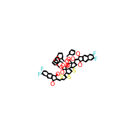 O=C1C(=CC2=Cc3sc4c(c3C2(C(=O)OCc2ccccc2)C(=O)OCc2ccccc2)C(C(=O)OCc2ccccc2)(C(=O)OCc2ccccc2)c2c-4sc3cc(C=C4C(=O)c5cc6cc(F)c(F)cc6cc5C4=O)sc23)C(=O)c2cc3cc(F)c(F)cc3cc21